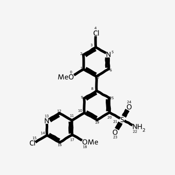 COc1cc(Cl)ncc1-c1cc(-c2cnc(Cl)cc2OC)cc(S(N)(=O)=O)c1